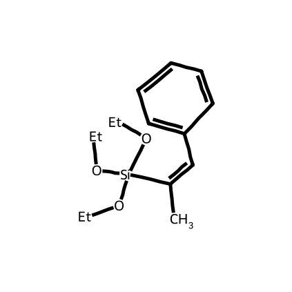 CCO[Si](OCC)(OCC)C(C)=Cc1ccccc1